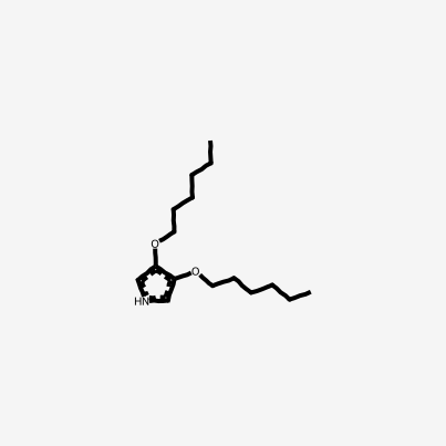 CCCCCCOc1c[nH]cc1OCCCCCC